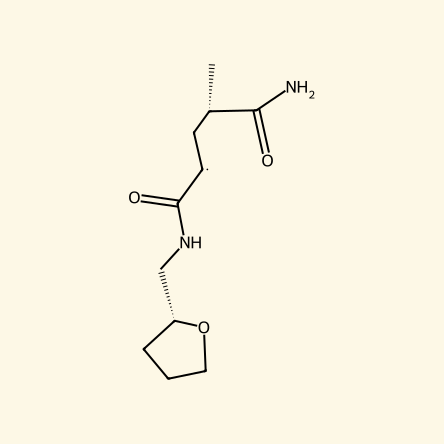 C[C@@H](C[CH]C(=O)NC[C@H]1CCCO1)C(N)=O